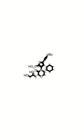 CC(C)(C)C#Cc1cc(N2C(=O)[C@@H](CC(O)CO)OC[C@H]2C2CCCCC2)c(C(=O)O)s1